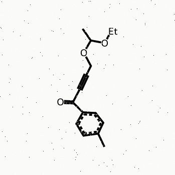 CCOC(C)OCC#CC(=O)c1ccc(C)cc1